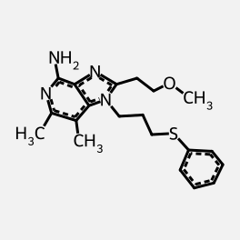 COCCc1nc2c(N)nc(C)c(C)c2n1CCCSc1ccccc1